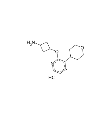 Cl.NC1CC(Oc2nccnc2C2CCOCC2)C1